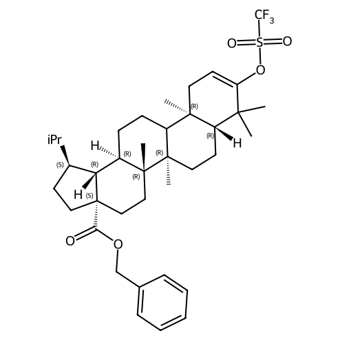 CC(C)[C@@H]1CC[C@]2(C(=O)OCc3ccccc3)CC[C@]3(C)[C@H](CCC4[C@@]5(C)CC=C(OS(=O)(=O)C(F)(F)F)C(C)(C)[C@@H]5CC[C@]43C)[C@@H]12